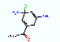 CC(C)COC(=O)C1=CC(N)(Cl)C=C(N)C1